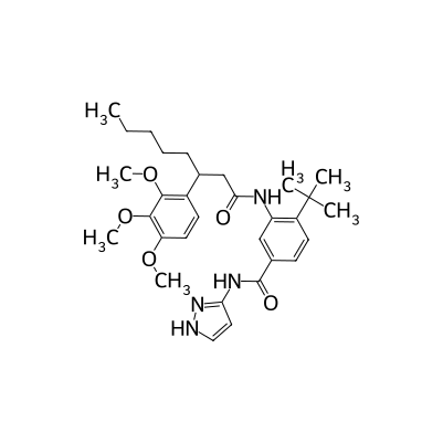 CCCCCC(CC(=O)Nc1cc(C(=O)Nc2cc[nH]n2)ccc1C(C)(C)C)c1ccc(OC)c(OC)c1OC